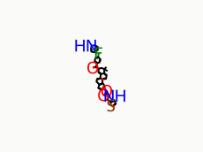 C1=CC=CNC=C1.CC1(C)CC(C(=O)c2ccc(F)cc2)C=c2c1ccc1c2=CCc2ccc(OC(=O)NCc3cccs3)cc2-1